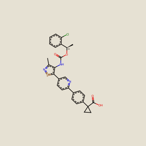 Cc1nsc(-c2ccc(-c3ccc(C4(C(=O)O)CC4)cc3)nc2)c1NC(=O)O[C@H](C)c1ccccc1Cl